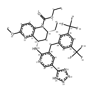 CCOC(=O)N1c2ccc(OC)nc2[C@@H](Nc2ncc(-c3nnn[nH]3)cc2Cc2cc(C(F)(F)F)cc(C(F)(F)F)c2)C[C@H]1CC